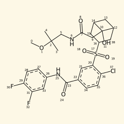 COC(C)(C)CNC(=O)CC1(O)C2CC1CC(S(=O)(=O)c1cc(C(=O)Nc3ccc(F)c(F)c3)ccc1Cl)C2